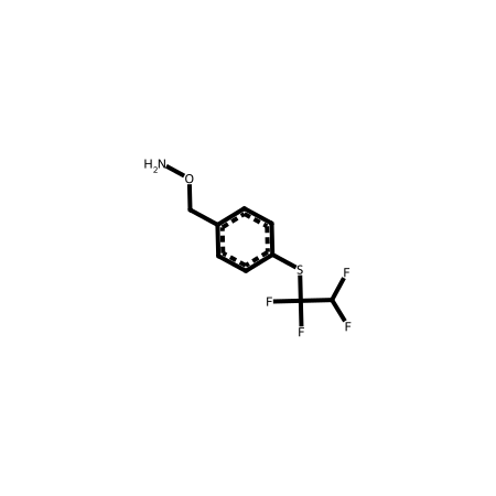 NOCc1ccc(SC(F)(F)C(F)F)cc1